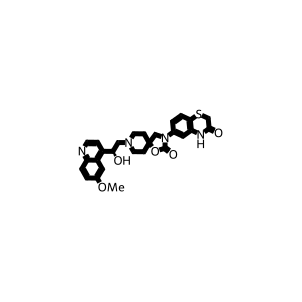 COc1ccc2nccc([C@H](O)CN3CCC4(CC3)CN(c3ccc5c(c3)NC(=O)CS5)C(=O)O4)c2c1